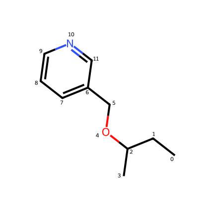 CCC(C)OCc1cccnc1